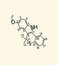 COc1ccc2[nH]c3c(c2c1)C(C)(C)Sc1ccccc1-3